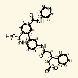 CC(N)c1ccc(C(=O)Nc2ccncc2)cc1-c1cccc(NC(=O)CC2CC(=O)Oc3ccccc32)c1